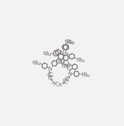 CC(C)(C)c1ccc(N2c3ccc(cc3)C(C)(C)CC(C)(C)c3ccc(cc3)N(c3ccc(C(C)(C)C)cc3)c3cc4c(c5ccccc35)-c3ccc(N(c5ccc(C(C)(C)C)cc5)c5ccc(C(C)(C)C)cc5)cc3C4(C(C)(C)C)C3(C(C)(C)C)c4cc2ccc4-c2c3cc(N(c3ccc(C(C)(C)C)cc3)c3ccc(C(C)(C)C)cc3)c3ccccc23)cc1